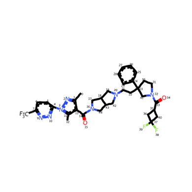 Cc1nn(-c2ccc(C(F)(F)F)nn2)c(C)c1C(=O)N1CC2CN(CCC3(c4ccccc4)CCN(C(=O)C4CC(F)(F)C4)C3)CC2C1